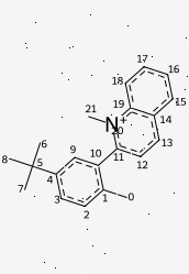 Cc1ccc(C(C)(C)C)cc1-c1ccc2ccccc2[n+]1C